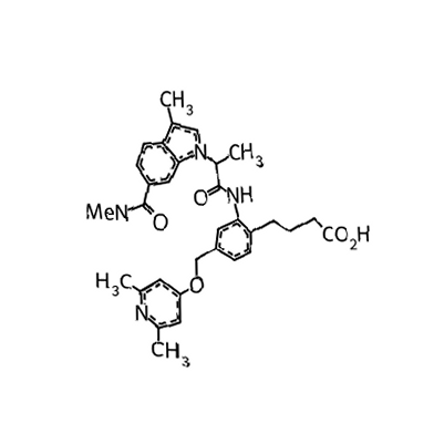 CNC(=O)c1ccc2c(C)cn(C(C)C(=O)Nc3cc(COc4cc(C)nc(C)c4)ccc3CCCC(=O)O)c2c1